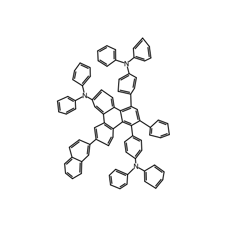 c1ccc(-c2cc(-c3ccc(N(c4ccccc4)c4ccccc4)cc3)c3c4ccc(N(c5ccccc5)c5ccccc5)cc4c4cc(-c5ccc6ccccc6c5)ccc4c3c2-c2ccc(N(c3ccccc3)c3ccccc3)cc2)cc1